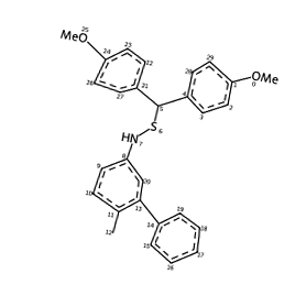 COc1ccc(C(SNc2ccc(C)c(-c3ccccc3)c2)c2ccc(OC)cc2)cc1